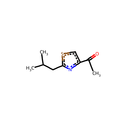 CC(=O)c1csc(CC(C)C)n1